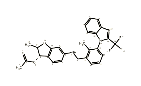 CC(=O)O[C@H]1c2ccc(NCc3cccc(-n4c(C(F)(F)F)nc5ccccc54)c3C)cc2OC1C